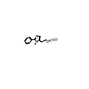 Cn1c(CCOC=O)cnc1-c1ccccc1